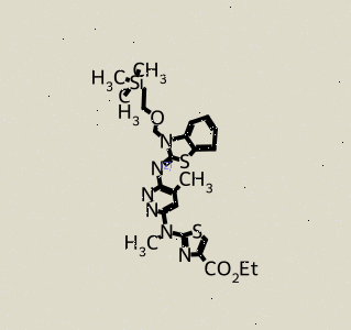 CCOC(=O)c1csc(N(C)c2cc(C)c(/N=c3\sc4ccccc4n3COCC[Si](C)(C)C)nn2)n1